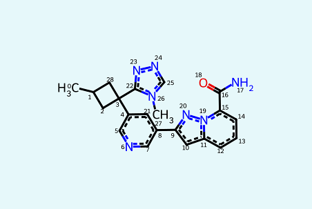 CC1CC(c2cncc(-c3cc4cccc(C(N)=O)n4n3)c2)(c2nncn2C)C1